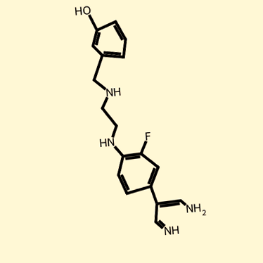 N=C/C(=C\N)c1ccc(NCCNCc2cccc(O)c2)c(F)c1